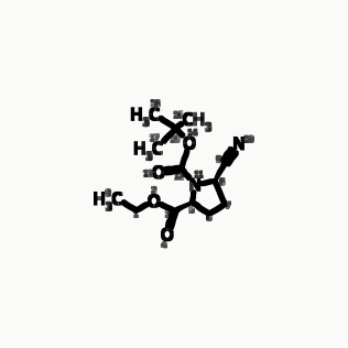 CCOC(=O)[C@@H]1CC[C@H](C#N)N1C(=O)OC(C)(C)C